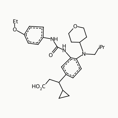 CCOc1ccc(NC(=O)Nc2cc(C(CC(=O)O)C3CC3)ccc2N(CC(C)C)C2CCOCC2)cc1